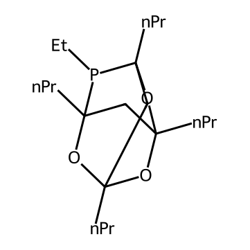 CCCC12CC3(CCC)OC(CCC)(CC(CCC)(O1)P3CC)O2